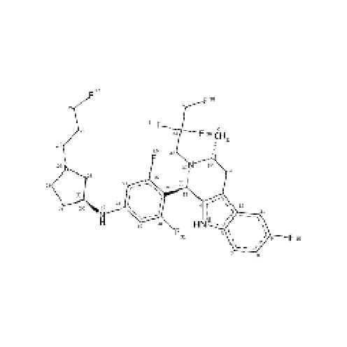 C[C@@H]1Cc2c([nH]c3ccc(F)cc23)[C@@H](c2c(F)cc(N[C@H]3CCN(CCCF)C3)cc2F)N1CC(F)(F)CF